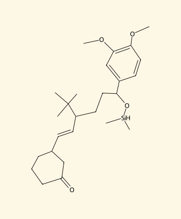 COc1ccc(C(CCC(C=CC2CCCC(=O)C2)C(C)(C)C)O[SiH](C)C)cc1OC